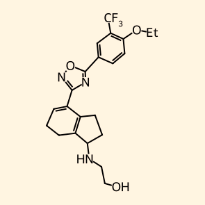 CCOc1ccc(-c2nc(C3=CCCC4=C3CCC4NCCO)no2)cc1C(F)(F)F